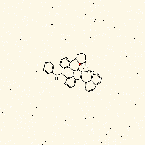 Cc1c(CP)c(-c2ccccc2C2CCCCC2)c2c(CPc3ccccc3)cccc2c1-c1cccc2ccccc12